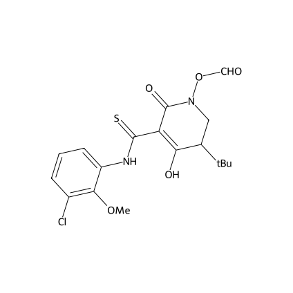 COc1c(Cl)cccc1NC(=S)C1=C(O)C(C(C)(C)C)CN(OC=O)C1=O